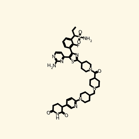 CCC(c1cccc(-c2nc(C3CCN(C(=O)C4CCN(CC5CCN(c6ccc(C7CCC(=O)NC7=O)cn6)CC5)CC4)CC3)sc2-c2ccnc(N)n2)c1F)S(N)(=O)=O